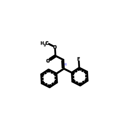 COC(=O)/C=C(\c1ccccc1)c1ccccc1F